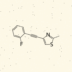 Cc1nc(C#Cc2ccccc2F)cs1